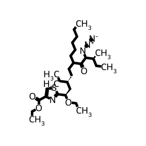 CCCCCCC(CC[C@H](C[C@@H](OCC)c1nc(C(=O)OCC)cs1)C(C)C)C(=O)C(N=[N+]=[N-])[C@@H](C)CC